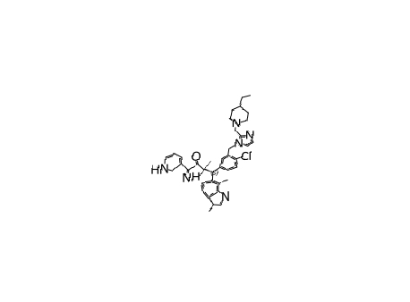 CCC1CCN(Cc2nccn2Cc2cc([C@@H](c3ccc4c(c3C)N=CC4C)C(C)(C)C(=O)C(=N)C3=CC=CNC3)ccc2Cl)CC1